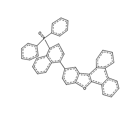 O=P(c1ccccc1)(c1ccccc1)c1ccc(-c2ccc3oc4c5ccccc5c5ccccc5c4c3c2)c2ccccc12